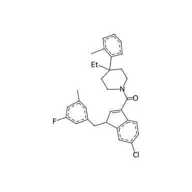 CCC1(c2ccccc2C)CCN(C(=O)C2=CC(Cc3cc(C)cc(F)c3)c3cc(Cl)ccc32)CC1